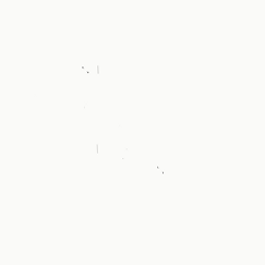 C=CC.C=CC(N)=O.CCOC(=O)[N+](C)(C)C.[Cl-]